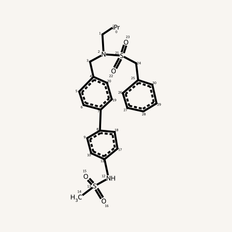 CC(C)CN(Cc1ccc(-c2ccc(NS(C)(=O)=O)cc2)cc1)S(=O)(=O)Cc1ccccc1